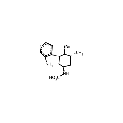 C[C@@H]1C[C@@H](NC(=O)O)C[C@H](c2ccncc2N)C1C(C)(C)C